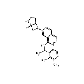 Cc1cccc([C@@H](C)Nc2nncc3ccc(N4C[C@@H]5NCC[C@@H]54)cc23)c1C